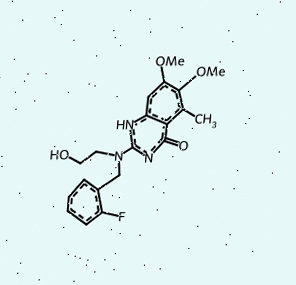 COc1cc2[nH]c(N(CCO)Cc3ccccc3F)nc(=O)c2c(C)c1OC